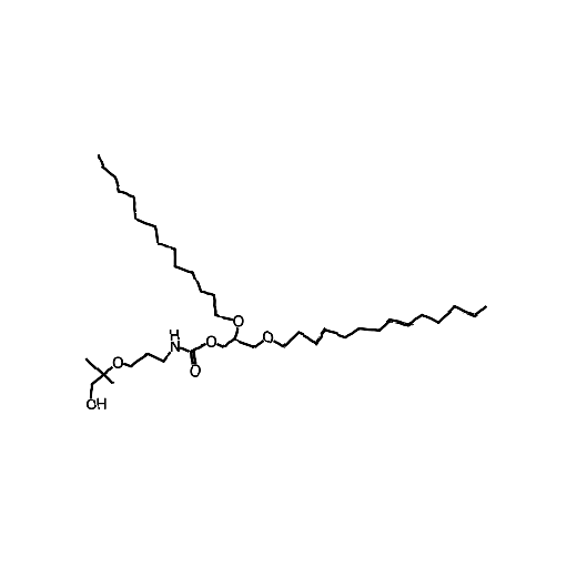 CCCCCCCCCCCCCCOCC(COC(=O)NCCCOC(C)(C)CO)OCCCCCCCCCCCCCC